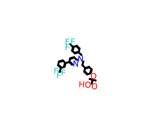 CC(C)(Oc1ccc(CCN(Cc2ccc(C(F)(F)F)cc2)c2ccc(-c3cccc(C(F)(F)F)c3)cn2)cc1)C(=O)O